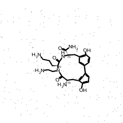 NCCC[C@H]1C(=O)N[C@H](C(N)=O)Cc2cc(ccc2O)-c2ccc(O)c(c2)C[C@H](N)C(=O)N1CCN